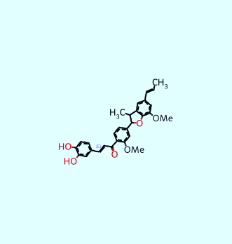 CC=Cc1cc(OC)c2c(c1)C(C)C(c1ccc(C(=O)/C=C/c3ccc(O)c(O)c3)c(OC)c1)O2